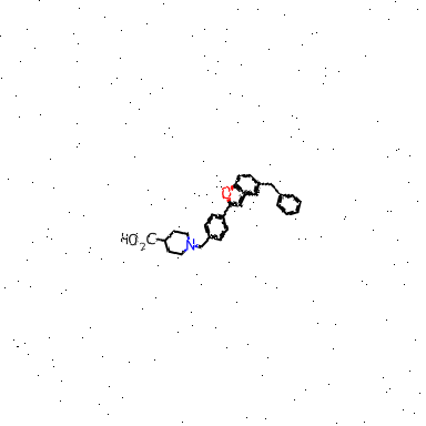 O=C(O)C1CCN(Cc2ccc(-c3cc4cc(Cc5ccccc5)ccc4o3)cc2)CC1